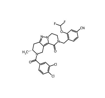 C[C@@H]1Cc2nn3c(c2CN1C(=O)c1ccc(Cl)c(Cl)c1)C(=O)N(Cc1ccc(C#N)cc1OC(F)F)CC3